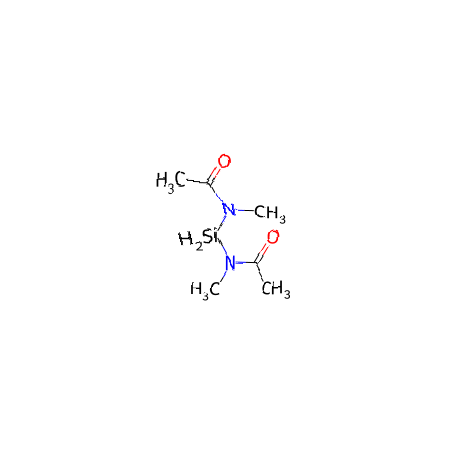 CC(=O)N(C)[SiH2]N(C)C(C)=O